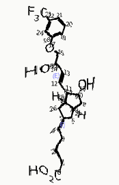 O=C(O)CCC/C=C1\C[C@@H]2C[C@@H](O)[C@H](/C=C/[C@H](O)COc3cccc(C(F)(F)F)c3)[C@H]2C1